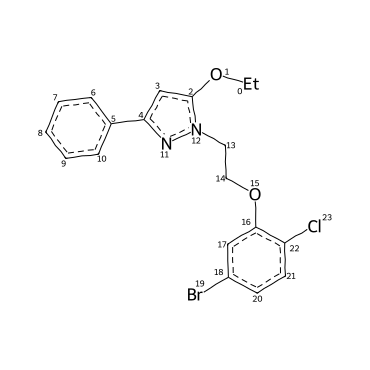 CCOc1cc(-c2ccccc2)nn1CCOc1cc(Br)ccc1Cl